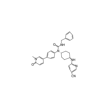 Cn1cc(-c2ccc(N(C(=O)NCc3ccccc3)[C@H]3CC[C@H](Nc4ccc(C#N)cn4)CC3)cc2)ccc1=O